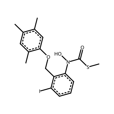 CSC(=O)N(O)c1cccc(I)c1COc1cc(C)c(C)cc1C